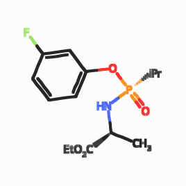 CCOC(=O)[C@H](C)N[P@](=O)(Oc1cccc(F)c1)C(C)C